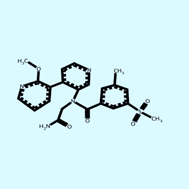 COc1ncccc1-c1ccncc1N(CC(N)=O)C(=O)c1cc(C)cc(S(C)(=O)=O)c1